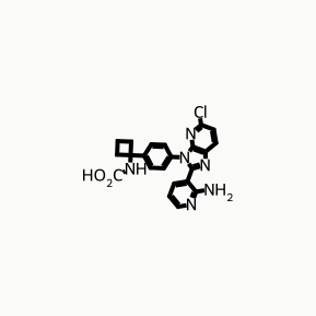 Nc1ncccc1-c1nc2ccc(Cl)nc2n1-c1ccc(C2(NC(=O)O)CCC2)cc1